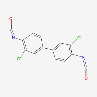 O=C=Nc1ccc(-c2ccc(N=C=O)c(Cl)c2)cc1Cl